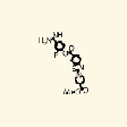 COC(=O)C1CCN(c2nc3ccc(C(=O)Oc4ccc(C(=N)N)cc4F)cc3s2)CC1